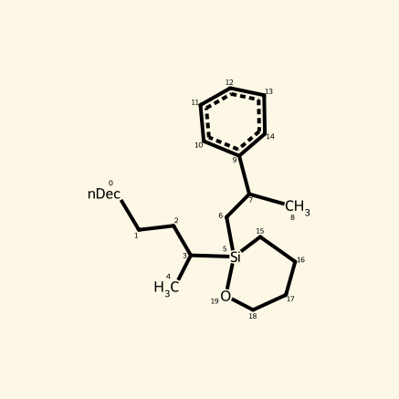 CCCCCCCCCCCCC(C)[Si]1(CC(C)c2ccccc2)CCCCO1